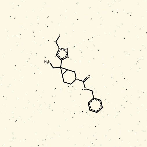 NCC1(c2cn(CI)nn2)C2CCN(C(=O)OCc3ccccc3)CC21